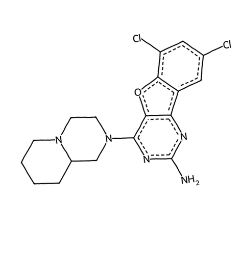 Nc1nc(N2CCN3CCCCC3C2)c2oc3c(Cl)cc(Cl)cc3c2n1